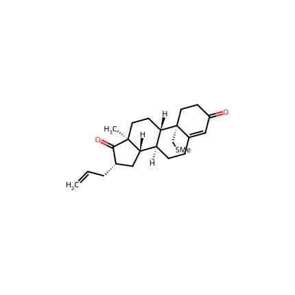 C=CC[C@H]1C[C@H]2[C@@H]3CCC4=CC(=O)CC[C@]4(CSC)[C@H]3CC[C@]2(C)C1=O